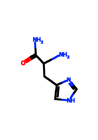 NC(=O)C(N)Cc1c[nH]cn1